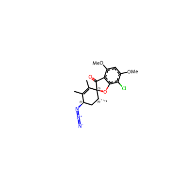 COc1cc(OC)c2c(c1Cl)O[C@]1(C2=O)C(C)=C(C)[C@H](N=[N+]=[N-])C[C@H]1C